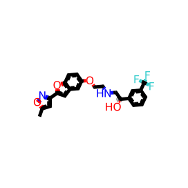 Cc1cc(-c2cc3cc(OCCNC[C@H](O)c4cccc(C(F)(F)F)c4)ccc3o2)no1